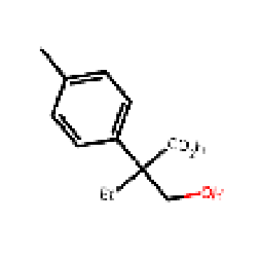 CCC(CO)(C(=O)O)c1ccc(C)cc1